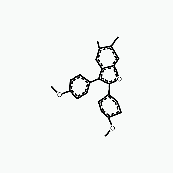 COc1ccc(-c2oc3cc(C)c(C)cc3c2-c2ccc(OC)cc2)cc1